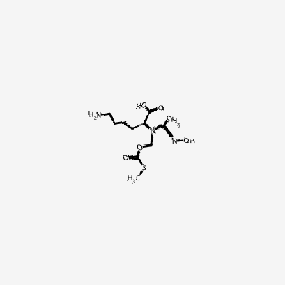 CSC(=O)OCN(/C(C)=N/O)[C@@H](CCCCN)C(=O)O